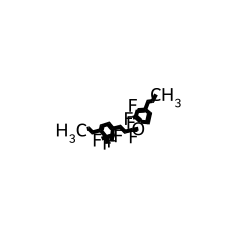 CCCC1=CC=C(CCC(F)(F)Oc2ccc(CCC)c(F)c2F)C(F)(F)C1(F)F